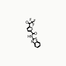 O=C(Nc1nc2ccccc2s1)c1ccc(C(=O)C(F)(F)F)s1